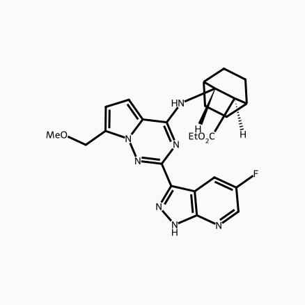 CCOC(=O)[C@@H]1C2CCC(CC2)[C@H]1Nc1nc(-c2n[nH]c3ncc(F)cc23)nn2c(COC)ccc12